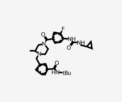 CC1CN(C(=O)c2ccc(NC(=O)NCC3CC3)c(F)c2)CCN1Cc1cccc(C(=O)NC(C)(C)C)c1